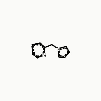 c1ccc(Cn2cccc2)nc1